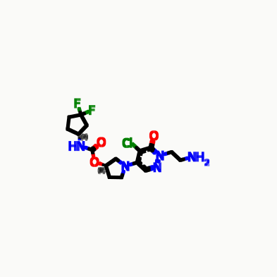 NCCn1ncc(N2CC[C@@H](OC(=O)N[C@@H]3CCC(F)(F)C3)C2)c(Cl)c1=O